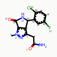 Cn1nc(CC(N)=O)c2c1C(=O)NC2c1cc(F)ccc1Cl